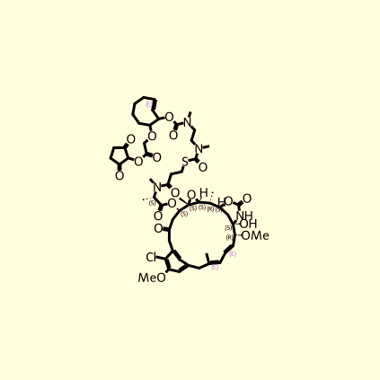 COc1cc2cc(c1Cl)CC(=O)C[C@H](OC(=O)[C@H](C)N(C)C(=O)CCSC(=O)N(C)CCN(C)C(=O)OC1/C=C/CCCCC1OCC(=O)OC1C(=O)CCC1=O)[C@]1(C)O[C@H]1[C@H](C)[C@@H]1C[C@@](O)(NC(=O)O1)[C@H](OC)/C=C/C=C(\C)C2